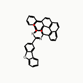 c1ccc(-c2nc(-c3ccc4oc5ccccc5c4c3)nc(-c3cccc4ccc5ccc6ccccc6c5c34)n2)cc1